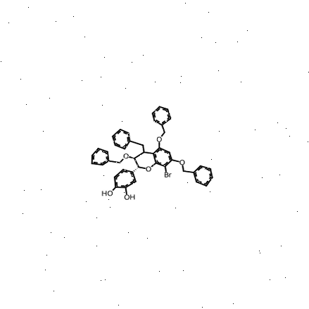 Oc1ccc([C@H]2Oc3c(Br)c(OCc4ccccc4)cc(OCc4ccccc4)c3C(Cc3ccccc3)[C@@H]2OCc2ccccc2)cc1O